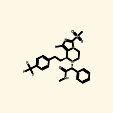 CNC(=O)[C@@H](c1ccccc1)N1CCn2c(S(C)(=O)=O)nc(I)c2[C@@H]1CCc1ccc(C(F)(F)F)cc1